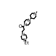 CCN1CCN(CCC(=O)N2CCN(C3CCN(C)CC3)CC2)CC1